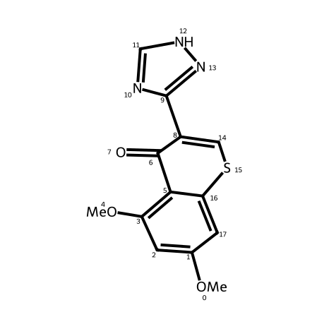 COc1cc(OC)c2c(=O)c(-c3nc[nH]n3)csc2c1